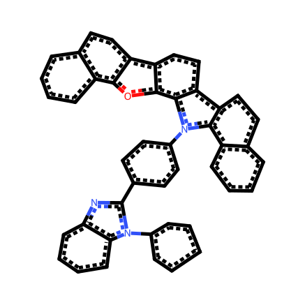 c1ccc(-n2c(-c3ccc(-n4c5c6ccccc6ccc5c5ccc6c7ccc8ccccc8c7oc6c54)cc3)nc3ccccc32)cc1